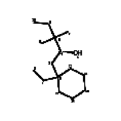 CCC1(C[C@@H](O)C(C)(C)CC)CCCCC1